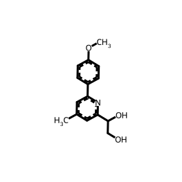 COc1ccc(-c2cc(C)cc(C(O)CO)n2)cc1